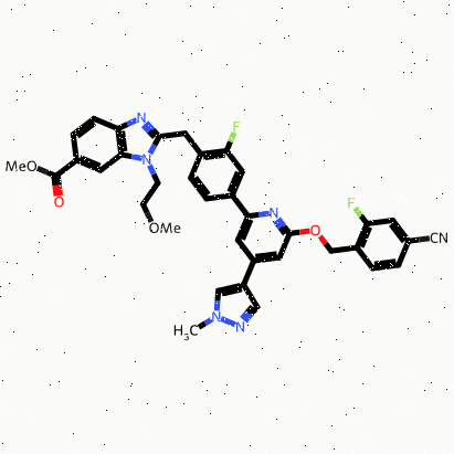 COCCn1c(Cc2ccc(-c3cc(-c4cnn(C)c4)cc(OCc4ccc(C#N)cc4F)n3)cc2F)nc2ccc(C(=O)OC)cc21